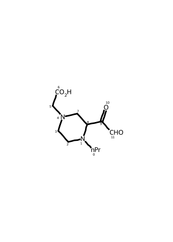 CCCN1CCN(CC(=O)O)CC1C(=O)C=O